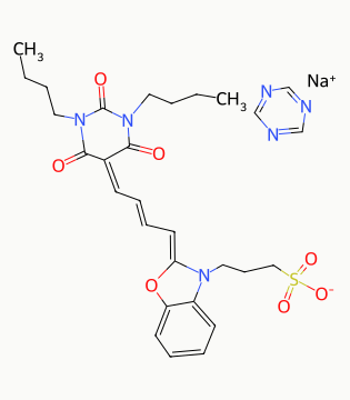 CCCCN1C(=O)C(=C/C=C/C=C2\Oc3ccccc3N2CCCS(=O)(=O)[O-])C(=O)N(CCCC)C1=O.[Na+].c1ncncn1